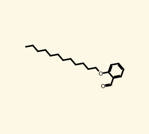 CCCCCCCCCCCCOc1ccccc1[C]=O